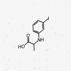 CC(Nc1cccc(I)c1)C(=O)O